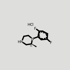 C[C@H]1CNCCN1c1cc(F)ccc1F.Cl